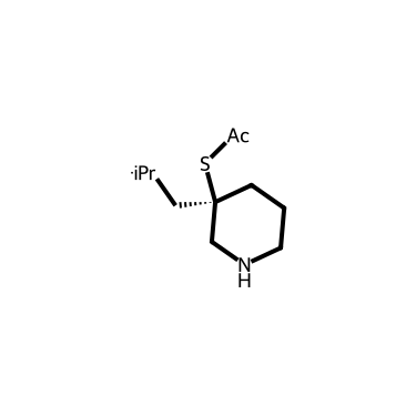 C[C](C)C[C@]1(SC(C)=O)CCCNC1